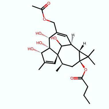 CCCC(=O)O[C@@]12C[C@@H](C)[C@]34C=C(C)[C@H](O)[C@@]3(O)[C@H](O)C(COC(C)=O)=C[C@H](C4O)[C@@H]1C2(C)C